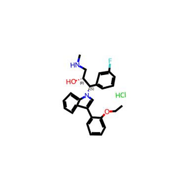 CCOc1ccccc1-c1cn([C@@H](c2cccc(F)c2)[C@H](O)CNC)c2ccccc12.Cl